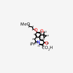 COCCCOc1cc2c(c3c1OCC31CC1)-c1cc(=O)c(C(=O)O)cn1C(C(C)C)C2